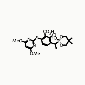 COc1cc(OC)nc(Sc2ccc(C(C)[P]3(O)OCC(C)(C)CO3)c(Cl)c2C(=O)O)n1